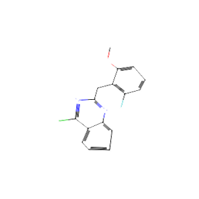 COc1cccc(F)c1Cc1nc(Cl)c2ccccc2n1